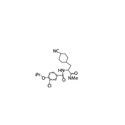 CNC(=O)C(CC1CCC(C#N)CC1)NC(=O)c1ccc(OC(C)C)c(Cl)c1